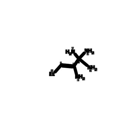 CCC=C(N)C(N)(N)N